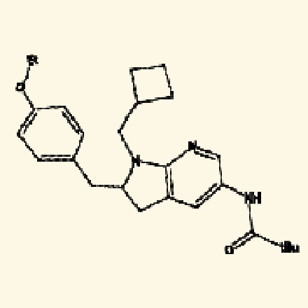 CCOc1ccc(CC2Cc3cc(NC(=O)C(C)(C)C)cnc3N2CC2CCC2)cc1